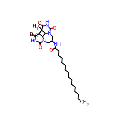 CCCCCCCCCCCCCCCC(=O)NC1CN2C(=O)NC(=O)C3(C)C2C2N(C1)C(=O)NC(=O)C23C